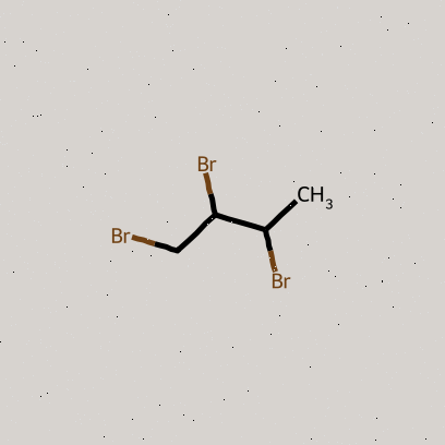 CC(Br)C(Br)CBr